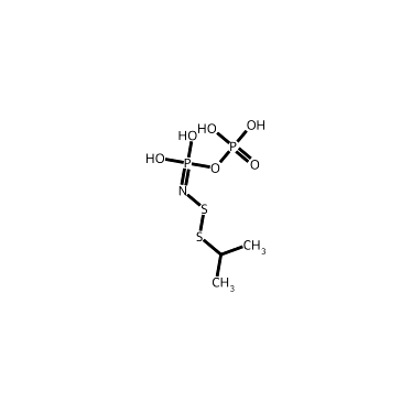 CC(C)SSN=P(O)(O)OP(=O)(O)O